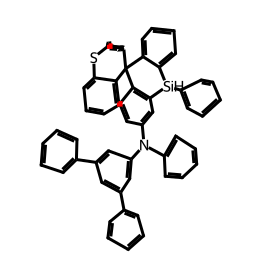 c1ccc(-c2cc(-c3ccccc3)cc(N(c3ccccc3)c3ccc4c(c3)[SiH](c3ccccc3)c3ccccc3C43c4ccccc4Sc4ccccc43)c2)cc1